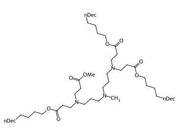 CCCCCCCCCCCCCCOC(=O)CCN(CCCN(C)CCCN(CCC(=O)OCCCCCCCCCCCCCC)CCC(=O)OCCCCCCCCCCCCCC)CCC(=O)OC